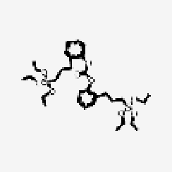 CCO[Si](CCCc1ccccc1OC(=O)Oc1ccccc1CCC[Si](OCC)(OCC)OCC)(OCC)OCC